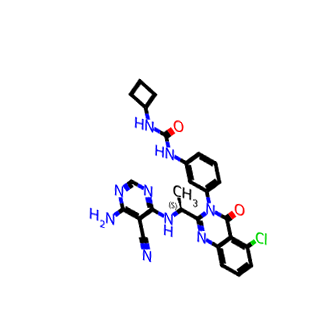 C[C@H](Nc1ncnc(N)c1C#N)c1nc2cccc(Cl)c2c(=O)n1-c1cccc(NC(=O)NC2CCC2)c1